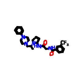 CC(CN1CCN(c2ccccc2)CC1)N1CCCC1NC(=O)CNC(=O)c1cccc(C(F)(F)F)c1